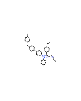 C=C/C=C\C=C(/c1ccc(C=C)cc1)N(c1ccc(C)cc1)c1ccc(-c2ccc(Cc3ccc(C)cc3)cc2)cc1